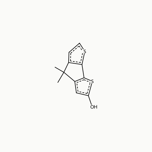 CC1(C)c2ccsc2-c2sc(O)cc21